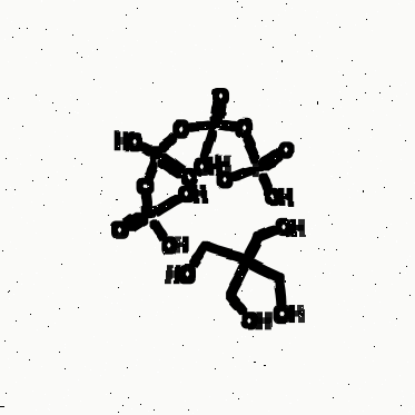 O=P(O)(O)OP(=O)(O)OP(=O)(O)OP(=O)(O)O.OCC(CO)(CO)CO